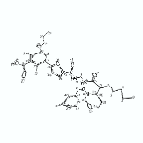 CCCCCC(C(=O)NCNC(=O)c1ccc(-c2cc(OCCC)cc(C(=O)O)c2C)o1)[C@@H](CC)N(C=O)OCc1ccccc1